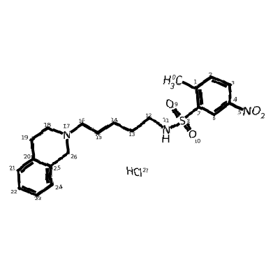 Cc1ccc([N+](=O)[O-])cc1S(=O)(=O)NCCCCCN1CCc2ccccc2C1.Cl